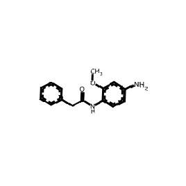 COc1cc(N)ccc1NC(=O)Cc1ccccc1